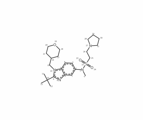 CN(c1ccc2c(c1)nc(C(C)(C)C)n2CC1CCOCC1)S(=O)(=O)CCN1CCCC1